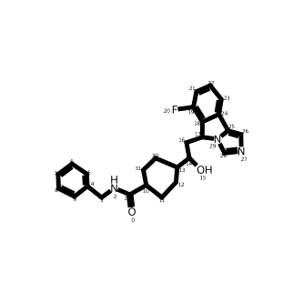 O=C(NCc1ccccc1)C1CCC(C(O)CC2c3c(F)cccc3-c3cncn32)CC1